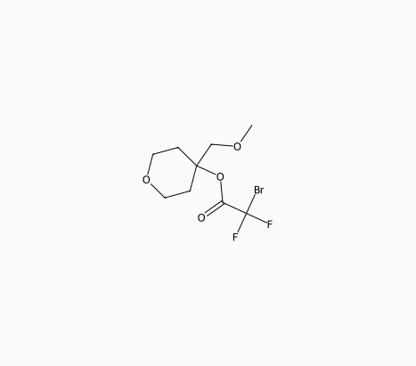 COCC1(OC(=O)C(F)(F)Br)CCOCC1